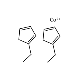 CCC1=CC=CC1.CCC1=CC=CC1.[Co+2]